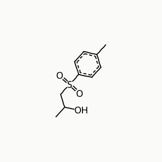 Cc1ccc(S(=O)(=O)CC(C)O)cc1